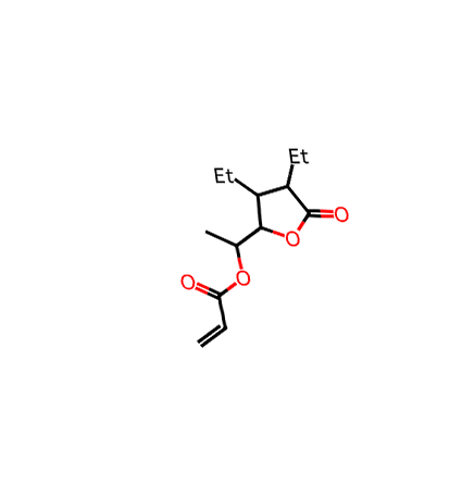 C=CC(=O)OC(C)C1OC(=O)C(CC)C1CC